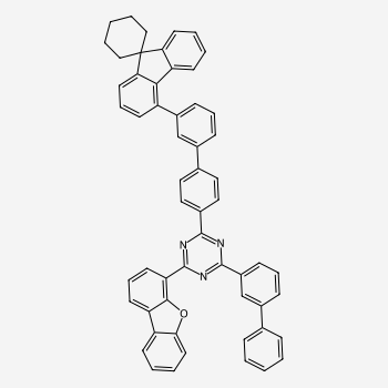 c1ccc(-c2cccc(-c3nc(-c4ccc(-c5cccc(-c6cccc7c6-c6ccccc6C76CCCCC6)c5)cc4)nc(-c4cccc5c4oc4ccccc45)n3)c2)cc1